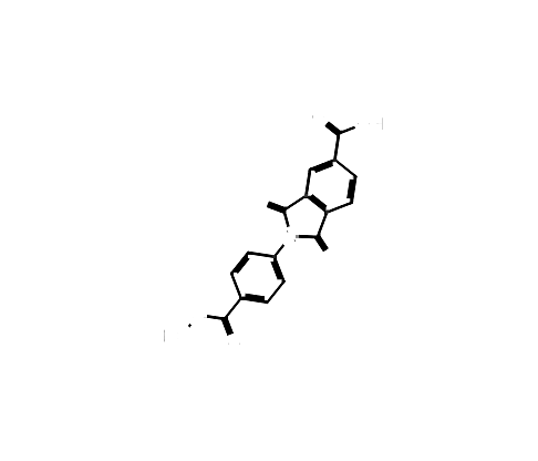 COC(=O)c1ccc(N2C(=O)c3ccc(C(=O)O)cc3C2=O)cc1